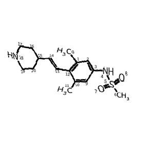 Cc1cc(NS(C)(=O)=O)cc(C)c1/C=C/C1CCNCC1